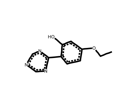 CCOc1ccc(-c2ncncn2)c(O)c1